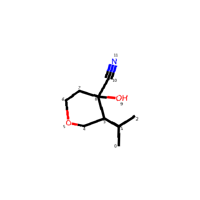 CC(C)C1COCCC1(O)C#N